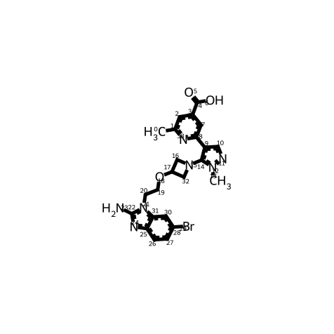 Cc1cc(C(=O)O)cc(-c2cnn(C)c2N2CC(OCCn3c(N)nc4ccc(Br)cc43)C2)n1